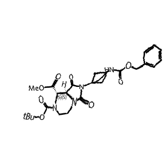 COC(=O)[C@@H]1[C@H]2C(=O)N(C34CC(NC(=O)OCc5ccccc5)(C3)C4)C(=O)N2CCN1C(=O)OC(C)(C)C